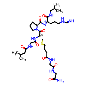 CC(C)CNC(=O)[C@@H](CCCNC=N)NC(=O)[C@@H]1CCCN1C(=O)[C@H](CSCCCC(=O)NCC(=O)NCC(N)=O)NC(=O)CNC(=O)CC(C)C